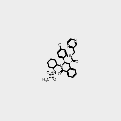 CS(=O)(=O)N[C@H]1CCCCC1N1C(=O)c2ccccc2[C@@H](C(=O)NCc2cnccn2)[C@@H]1c1ccc(Cl)cc1